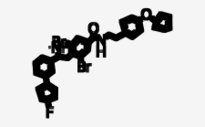 [NH]C(Cc1c(Br)cc(C(=O)NCCc2ccc(Oc3ccccc3)cc2)cc1Br)c1cccc(-c2ccc(F)cc2)c1